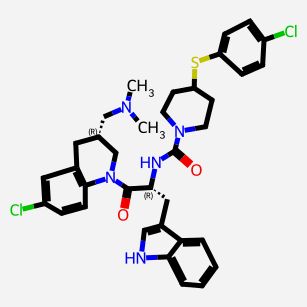 CN(C)C[C@H]1Cc2cc(Cl)ccc2N(C(=O)[C@@H](Cc2c[nH]c3ccccc23)NC(=O)N2CCC(Sc3ccc(Cl)cc3)CC2)C1